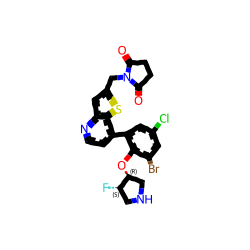 O=C1CCC(=O)N1Cc1cc2nccc(-c3cc(Cl)cc(Br)c3O[C@@H]3CNC[C@@H]3F)c2s1